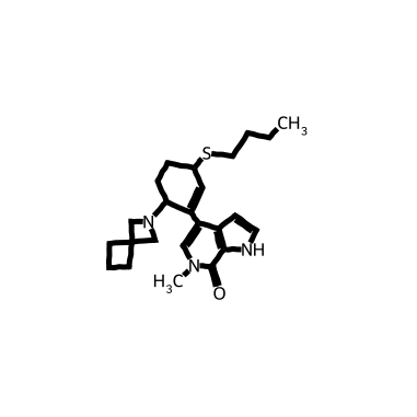 CCCCSC1C=C(c2cn(C)c(=O)c3[nH]ccc23)C(N2CC3(CCC3)C2)CC1